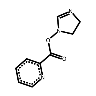 O=C(ON1C=NCC1)c1ccccn1